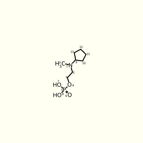 CN(CCOP(=O)(O)O)C1CCCC1